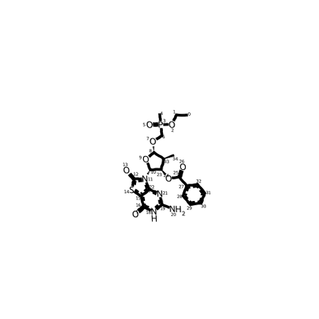 CCOP(C)(=O)CO[C@H]1O[C@@H](n2c(=O)sc3c(=O)[nH]c(N)nc32)[C@H](OC(=O)c2ccccc2)[C@@H]1C